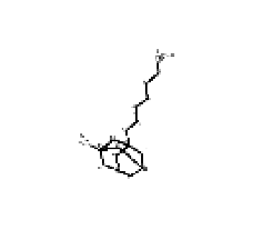 CCCCCCCCCCCCCCCCC12CC3CC(CC(O)(C3)C1)C2